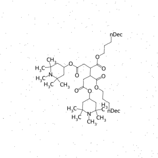 CCCCCCCCCCCCCOC(=O)C(CC(=O)OC1CC(C)(C)N(C)C(C)(C)C1)C(CC(=O)OC1CC(C)(C)N(C)C(C)(C)C1)C(=O)OCCCCCCCCCCCCC